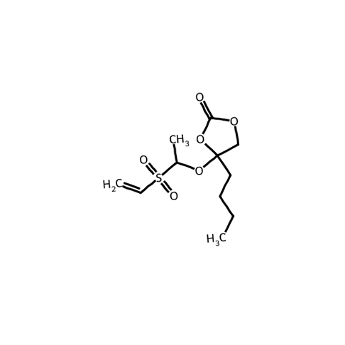 C=CS(=O)(=O)C(C)OC1(CCCC)COC(=O)O1